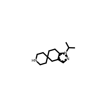 CC(C)n1ncc2c1CCC1(CCNCC1)C2